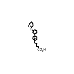 O=C(O)/C=C/CCC12CCC(c3cccc(OC4CCCCO4)c3)(CC1)OC2